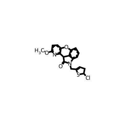 COc1ccc2c(n1)C1C(=O)N(CC3=CCC(Cl)S3)c3cccc(c31)O2